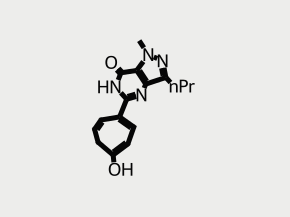 CCCc1nn(C)c2c(=O)[nH]c(C3=CC=C(O)CC=C3)nc12